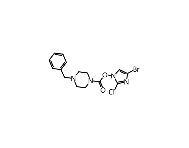 O=C(On1cc(Br)nc1Cl)N1CCN(Cc2ccccc2)CC1